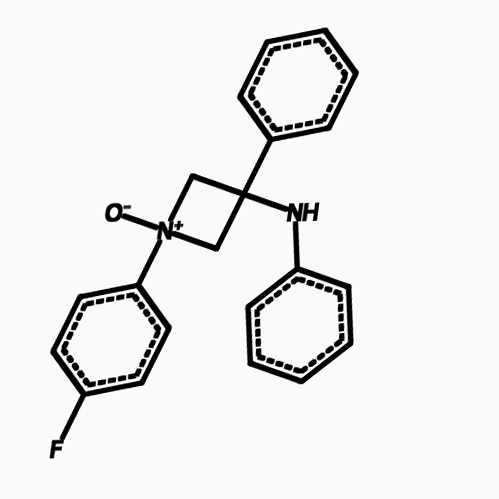 [O-][N+]1(c2ccc(F)cc2)CC(Nc2ccccc2)(c2ccccc2)C1